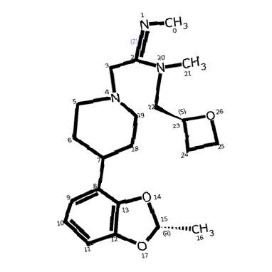 C/N=C(/CN1CCC(c2cccc3c2O[C@H](C)O3)CC1)N(C)C[C@@H]1CCO1